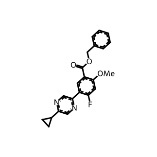 COc1cc(F)c(-c2cnc(C3CC3)cn2)cc1C(=O)OCc1ccccc1